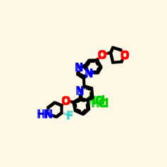 Cl.Cl.F[C@@H]1CNCC[C@H]1Oc1cccc2ccc(-c3cnc4cc(OC5CCOCC5)ccn34)nc12